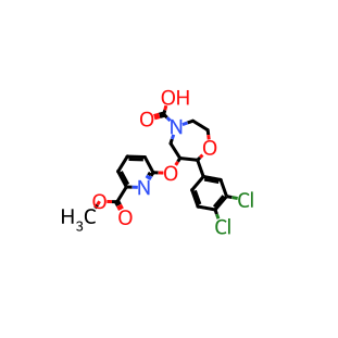 COC(=O)c1cccc(OC2CN(C(=O)O)CCOC2c2ccc(Cl)c(Cl)c2)n1